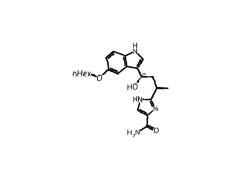 CCCCCCOc1ccc2[nH]cc([C@H](O)CC(C)c3nc(C(N)=O)c[nH]3)c2c1